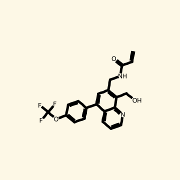 C=CC(=O)NCc1cc(-c2ccc(OC(F)(F)F)cc2)c2cccnc2c1CO